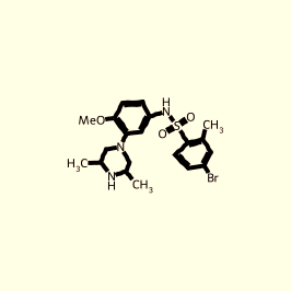 COc1ccc(NS(=O)(=O)c2ccc(Br)cc2C)cc1N1CC(C)NC(C)C1